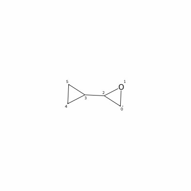 [CH]1OC1C1CC1